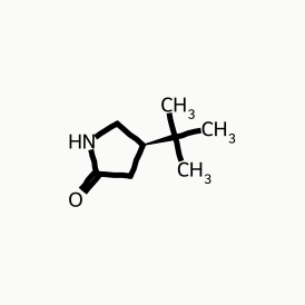 CC(C)(C)[C@@H]1CNC(=O)C1